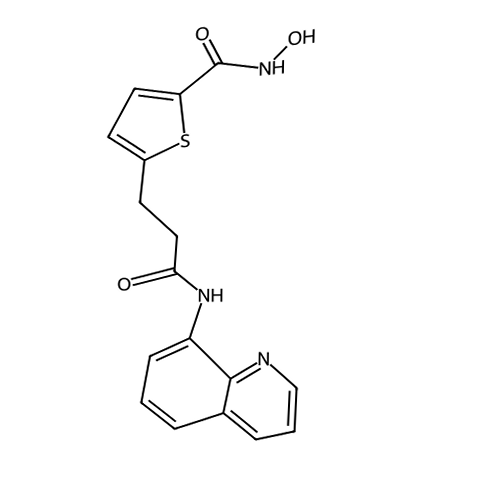 O=C(CCc1ccc(C(=O)NO)s1)Nc1cccc2cccnc12